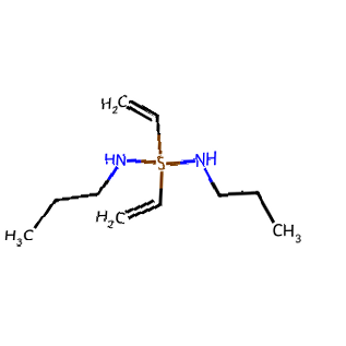 C=CS(C=C)(NCCC)NCCC